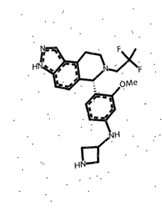 COc1cc(NC2CNC2)ccc1[C@@H]1c2ccc3[nH]ncc3c2CCN1CC(C)(F)F